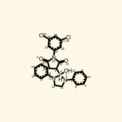 O=C1CC([PH]2(O)N(c3ccccc3)CCN2c2ccccc2)C(=O)N1c1cc(Cl)cc(Cl)c1